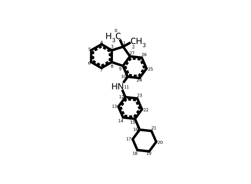 CC1(C)c2ccccc2-c2c(Nc3ccc(C4CCCCC4)cc3)cccc21